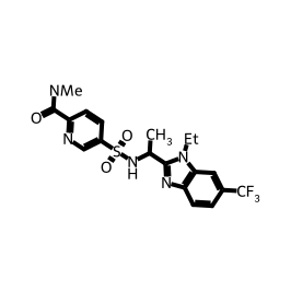 CCn1c(C(C)NS(=O)(=O)c2ccc(C(=O)NC)nc2)nc2ccc(C(F)(F)F)cc21